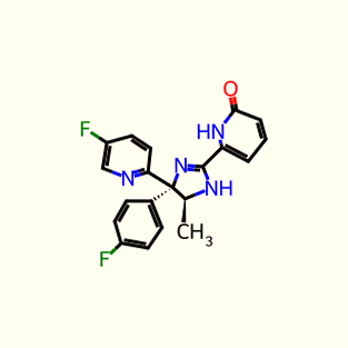 C[C@@H]1NC(c2cccc(=O)[nH]2)=N[C@]1(c1ccc(F)cc1)c1ccc(F)cn1